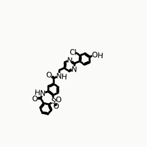 O=C(NCc1cnc(-c2ccc(O)cc2Cl)nc1)c1ccc2c(c1)NC(=O)c1ccccc1S2(=O)=O